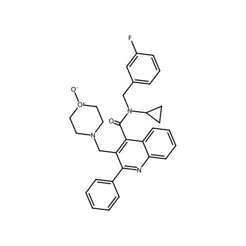 O=C(c1c(CN2CC[O+]([O-])CC2)c(-c2ccccc2)nc2ccccc12)N(Cc1cccc(F)c1)C1CC1